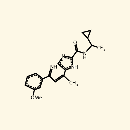 COc1cccc(C(=N)/C=C(/C)c2cnc(C(=O)NC(C3CC3)C(F)(F)F)[nH]2)c1